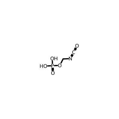 O=C=NCOP(=O)(O)O